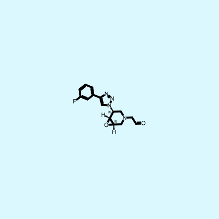 O=CCN1C[C@@H]2O[C@@H]2[C@@H](n2cc(-c3cccc(F)c3)nn2)C1